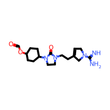 N=C(N)N1CC=C(CCN2CCN(C3CCC(OC=O)CC3)C2=O)C1